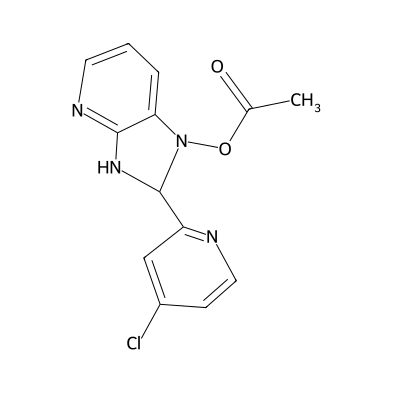 CC(=O)ON1c2cccnc2NC1c1cc(Cl)ccn1